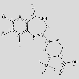 CC(C)(C)C1CN(C2=Nc3c(cc(Cl)c(Br)c3F)C(=O)NC2)CCN1C(=O)O